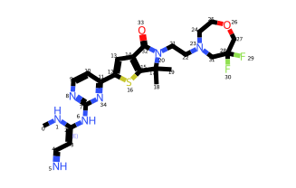 CN/C(=C\C=N)Nc1nccc(-c2cc3c(s2)C(C)(C)N(CCN2CCOCC(F)(F)C2)C3=O)n1